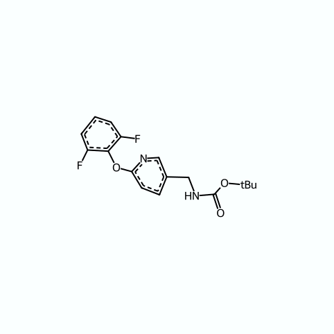 CC(C)(C)OC(=O)NCc1ccc(Oc2c(F)cccc2F)nc1